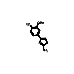 COc1cc(-c2csc(N)n2)ccc1C(F)(F)F